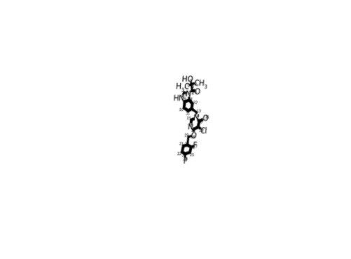 CC(C)(O)C(=O)N1CNc2ccc(Cn3cnc(OCc4ccc(F)cc4F)c(Cl)c3=O)cc21